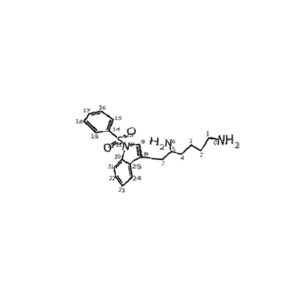 NCCCCC(N)Cc1cn(S(=O)(=O)c2ccccc2)c2ccccc12